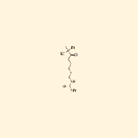 CCCC(=O)NCCCCCC(=O)C(C)(CC)CC